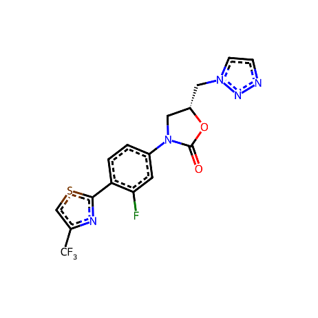 O=C1O[C@@H](Cn2ccnn2)CN1c1ccc(-c2nc(C(F)(F)F)cs2)c(F)c1